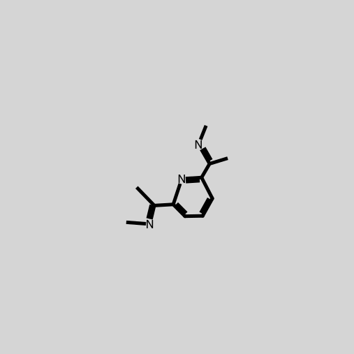 CN=C(C)c1cccc(C(C)=NC)n1